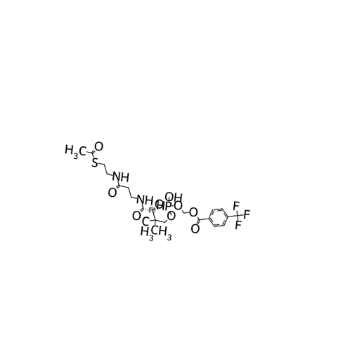 CC(=O)SCCNC(=O)CCNC(=O)[C@@H]1O[PH](O)(OCOC(=O)c2ccc(C(F)(F)F)cc2)OCC1(C)C